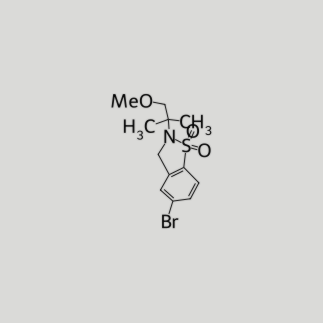 COCC(C)(C)N1Cc2cc(Br)ccc2S1(=O)=O